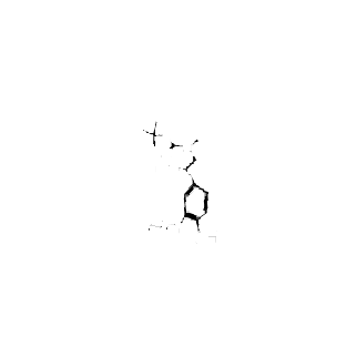 CN(C[C@H](O)c1ccc(O)c(O)c1)C(=O)OC(C)(C)C